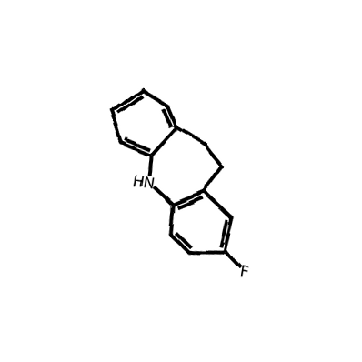 Fc1ccc2c(c1)CCc1ccccc1N2